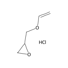 C=COCC1CO1.Cl